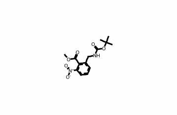 COC(=O)c1c(CNC(=O)OC(C)(C)C)cccc1[N+](=O)[O-]